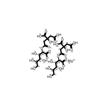 O=C(O)CC(O)(CC(=O)O[C@@H](C(=O)[O-])[C@@H](O)[C@H](O)[C@H](O)CO)C(=O)O.O=C(O)CC(O)(CC(=O)O[C@@H](C(=O)[O-])[C@@H](O)[C@H](O)[C@H](O)CO)C(=O)O.[Mg+2]